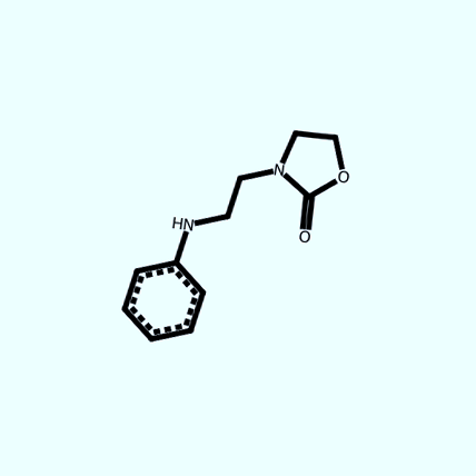 O=C1OCCN1CCNc1ccccc1